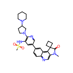 CN1C(=O)C2(CCC2)c2c1cnc1ccc(-c3cnc(N4CCC(N5CCCCC5)C4)c(NS(C)(=O)=O)c3)cc21